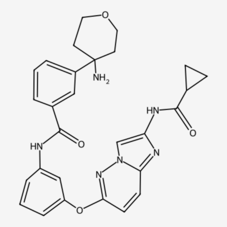 NC1(c2cccc(C(=O)Nc3cccc(Oc4ccc5nc(NC(=O)C6CC6)cn5n4)c3)c2)CCOCC1